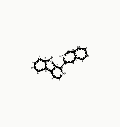 c1ccc2cc(-c3nccc4c3oc3ncccc34)ncc2c1